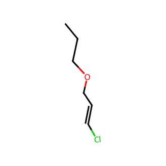 CCCOC/C=C/Cl